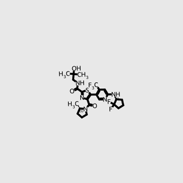 C[C@H]1CCCN1C(=O)c1nc(C(=O)NCC(C)(C)O)sc1-c1cnc(N[C@H]2CCCC2(F)F)cc1C(F)(F)F